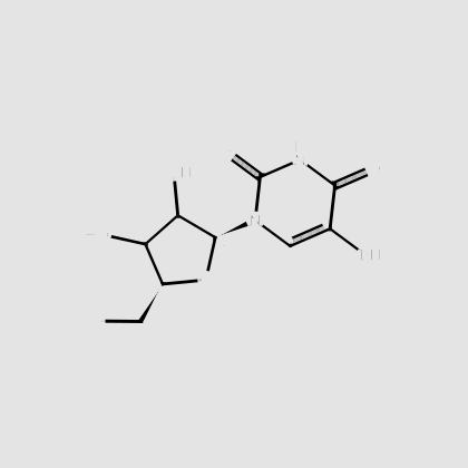 Bc1cn([C@H]2O[C@@H](CO)C(O)C2O)c(=O)[nH]c1=O